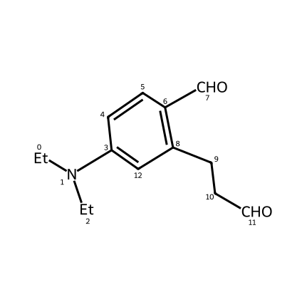 CCN(CC)c1ccc(C=O)c(CCC=O)c1